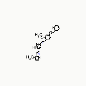 COc1cc(OCc2ccccn2)ccc1/C=C/c1cc(/C=C/c2nccn2C)[nH]n1